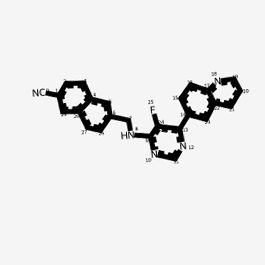 N#Cc1ccc2cc(CNc3ncnc(-c4ccc5ncccc5c4)c3F)ccc2c1